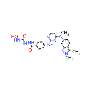 Cc1c2ccc(N(C)c3ccnc(Nc4ccc(C(=O)NNC(=O)NO)cc4)n3)cc2nn1C